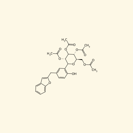 CC(=O)OC[C@H]1OC(c2cc(Cc3cc4ccccc4o3)ccc2O)[C@H](OC(C)=O)C(OC(C)=O)[C@@H]1OC(C)=O